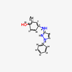 CC(=O)c1cc(Nc2ccn(-c3ccccc3)n2)ccc1O